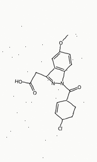 COc1ccc2c(c1)c(CC(=O)O)nn2C(=O)C1C=CC(Cl)CC1